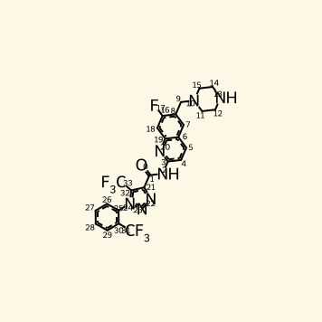 O=C(Nc1ccc2cc(CN3CCNCC3)c(F)cc2n1)c1nnn(-c2ccccc2C(F)(F)F)c1C(F)(F)F